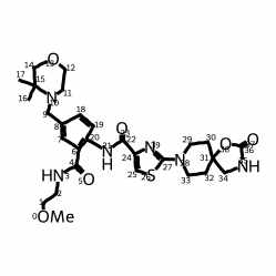 COCCNC(=O)c1cc(CN2CCOCC2(C)C)ccc1NC(=O)c1csc(N2CCC3(CC2)CNC(=O)O3)n1